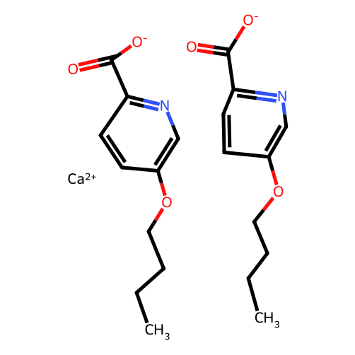 CCCCOc1ccc(C(=O)[O-])nc1.CCCCOc1ccc(C(=O)[O-])nc1.[Ca+2]